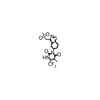 Cc1c(C(F)(F)F)[nH]c(=O)n(-c2ccc3snc(CS(C)(=O)=O)c3c2)c1=O